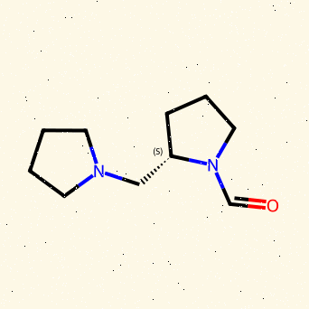 O=CN1CCC[C@H]1CN1CCCC1